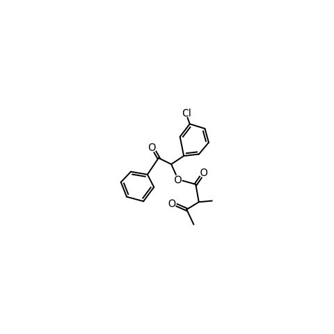 CC(=O)C(C)C(=O)OC(C(=O)c1ccccc1)c1cccc(Cl)c1